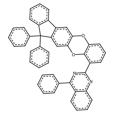 c1ccc(-c2nc(-c3cccc4c3Oc3cc5c(cc3O4)-c3ccccc3C5(c3ccccc3)c3ccccc3)nc3ccccc23)cc1